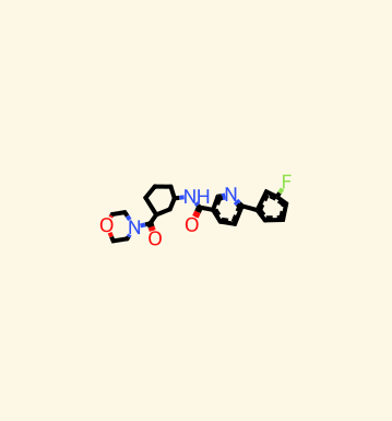 O=C(NC1CCCC(C(=O)N2CCOCC2)C1)c1ccc(-c2cccc(F)c2)nc1